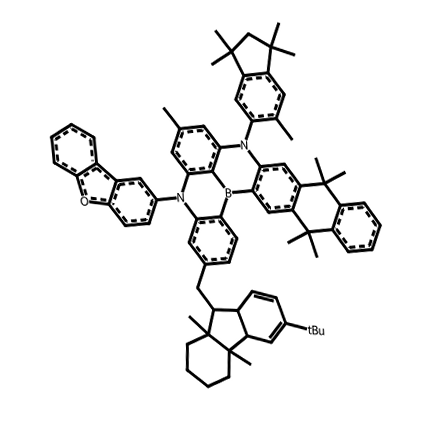 Cc1cc2c3c(c1)N(c1cc4c(cc1C)C(C)(C)CC4(C)C)c1cc4c(cc1B3c1ccc(CC3C5C=CC(C(C)(C)C)=CC5C5(C)CCCCC35C)cc1N2c1ccc2oc3ccccc3c2c1)C(C)(C)c1ccccc1C4(C)C